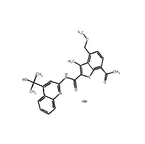 Br.COCc1ccc(C(C)=O)c2sc(C(=O)Nc3cc(C(C)(C)O)c4ccccc4n3)c(C)c12